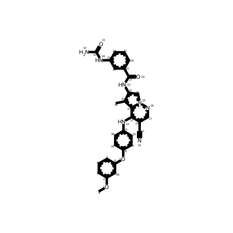 COc1cccc(Oc2ccc(Nc3c(C#N)cnn4cc(NC(=O)c5cccc(NC(N)=O)c5)c(C)c34)cc2)c1